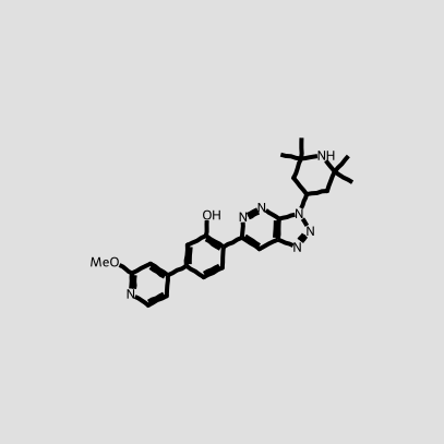 COc1cc(-c2ccc(-c3cc4nnn(C5CC(C)(C)NC(C)(C)C5)c4nn3)c(O)c2)ccn1